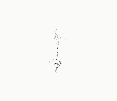 CC(C)C1N(CCC#N)CCN1C(=O)NCCCCCCNC(=O)N1CCN(CCC#N)C1C(C)C